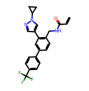 C=CC(=O)NCc1ccc(-c2ccc(C(F)(F)F)cc2)cc1-c1cnn(C2CC2)c1